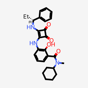 CC[C@@H](Nc1c(Nc2cccc(C(=O)N(C)C3CCCCC3)c2O)c(=O)c1=O)c1ccccc1